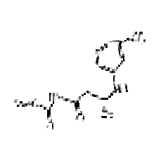 CC[C@H](CC(=O)NC(=O)OC)Nc1cccc(C(F)(F)F)c1